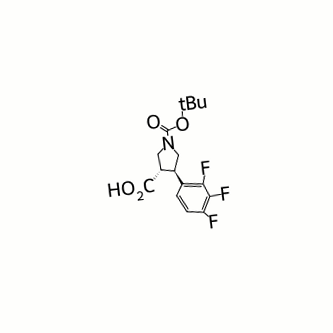 CC(C)(C)OC(=O)N1C[C@@H](C(=O)O)[C@H](c2ccc(F)c(F)c2F)C1